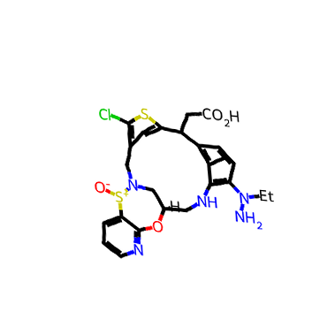 CCN(N)c1ccc2c(C)c1NC[C@@H]1CN(Cc3cc(sc3Cl)C2CC(=O)O)[S+]([O-])c2cccnc2O1